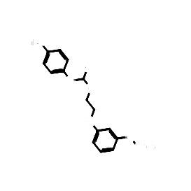 CCCCCOc1cccc(OCCOC(C)Oc2ccc(C(C)CC)cc2)c1